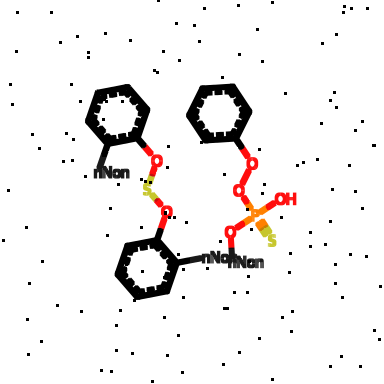 CCCCCCCCCOP(O)(=S)OOc1ccccc1.CCCCCCCCCc1ccccc1OSOc1ccccc1CCCCCCCCC